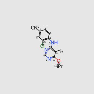 [C-]#[N+]c1ccc(Nc2ncnc(OC(C)C)c2C)c(Cl)c1